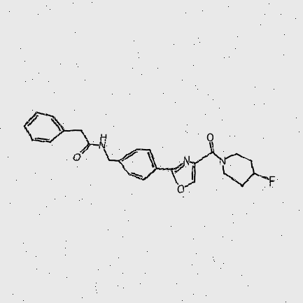 O=C(Cc1ccccc1)NCc1ccc(-c2nc(C(=O)N3CCC(F)CC3)co2)cc1